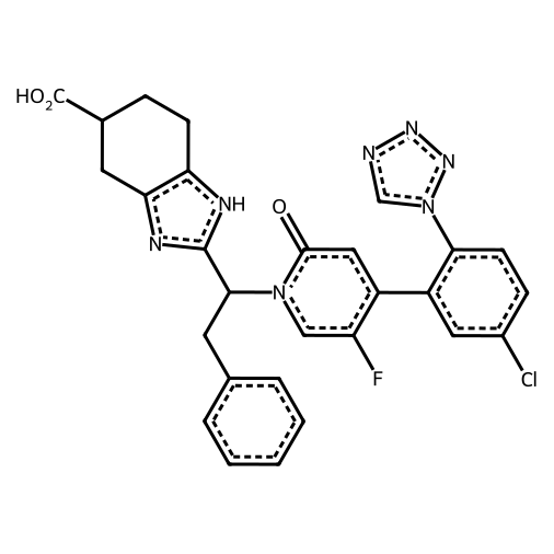 O=C(O)C1CCc2[nH]c(C(Cc3ccccc3)n3cc(F)c(-c4cc(Cl)ccc4-n4cnnn4)cc3=O)nc2C1